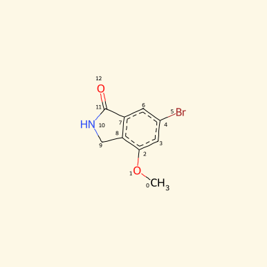 COc1cc(Br)cc2c1CNC2=O